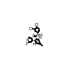 CC1C2C1[C@@H]1O[C@H]2[C@@H](C(=O)Nc2ccc(Cl)c(Cl)c2)[C@H]1c1ccnc(F)c1